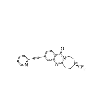 O=c1c2ccc(C#Cc3ccccn3)cc2nc2n1CC[C@@H](C(F)(F)F)CC2